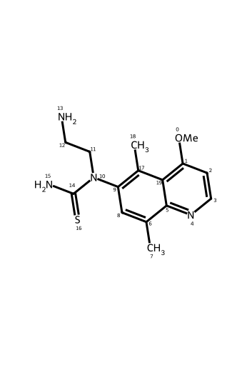 COc1ccnc2c(C)cc(N(CCN)C(N)=S)c(C)c12